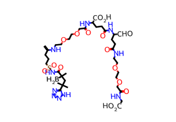 BC(C)(CC(C)(C)c1nnn[nH]1)C(=O)NS(=O)(=O)CCCC(=C)NCCOCCOCC(=O)NC(CCC(=O)NC(C=O)CCC(=O)NCCOCCOCC(=O)NCC(=O)O)C(=O)O